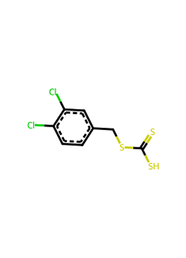 S=C(S)SCc1ccc(Cl)c(Cl)c1